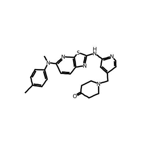 Cc1ccc(N(C)c2ccc3nc(Nc4cc(CN5CCC(=O)CC5)ccn4)sc3n2)cc1